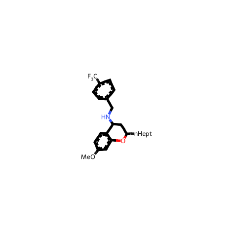 CCCCCCCC1CC(NCc2ccc(C(F)(F)F)cc2)c2ccc(OC)cc2O1